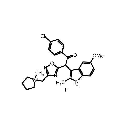 COc1ccc2[nH]c(C)c(C(C(=O)c3ccc(Cl)cc3)c3nc(C[N+]4(C)CCCC4)no3)c2c1.[I-]